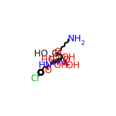 NCCCCCCO[C@]1(C(=O)O)C[C@H](O)[C@@H](NC(=O)CO)[C@H]([C@H](O)[C@H](O)CNC(=O)Cc2ccc(Cl)cc2)O1